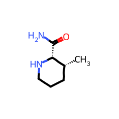 C[C@@H]1CCCN[C@@H]1C(N)=O